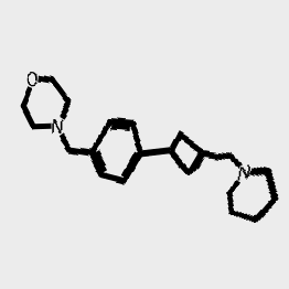 c1cc(C2CC(CN3CCCCC3)C2)ccc1CN1CCOCC1